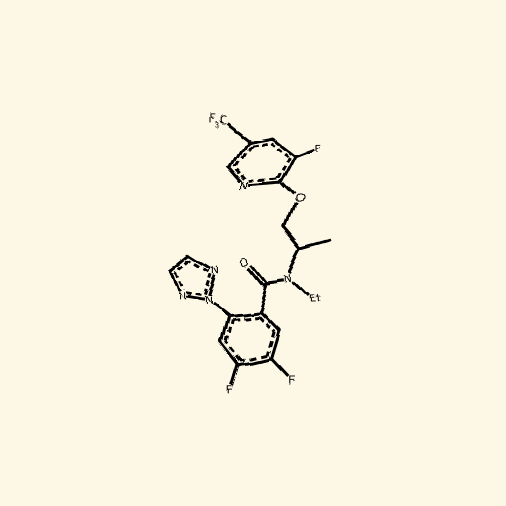 CCN(C(=O)c1cc(F)c(F)cc1-n1nccn1)C(C)COc1ncc(C(F)(F)F)cc1F